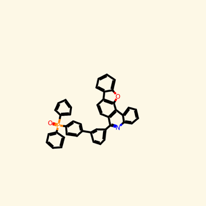 O=P(c1ccccc1)(c1ccccc1)c1ccc(-c2cccc(-c3nc4ccccc4c4c3ccc3c5ccccc5oc34)c2)cc1